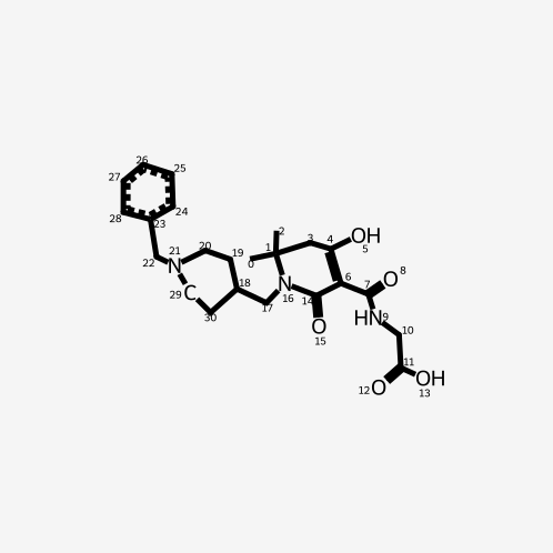 CC1(C)CC(O)=C(C(=O)NCC(=O)O)C(=O)N1CC1CCN(Cc2ccccc2)CC1